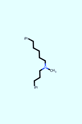 CC(C)CCCCCN(C)CCCC(C)C